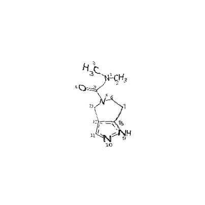 CN(C)C(=O)N1CCc2[nH]ncc2C1